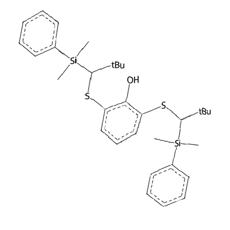 CC(C)(C)C(Sc1cccc(SC(C(C)(C)C)[Si](C)(C)c2ccccc2)c1O)[Si](C)(C)c1ccccc1